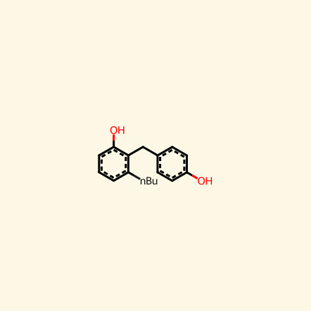 CCCCc1cccc(O)c1Cc1ccc(O)cc1